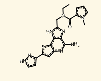 CCN(Cc1nc2c(N)nc3cc(-c4cc[nH]n4)sc3c2[nH]1)C(=O)c1cccn1C